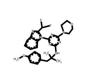 COc1ccc(CC(C)(C)Nc2nc(N3CCOCC3)nc(-n3c(C(F)F)nc4ccccc43)n2)cc1